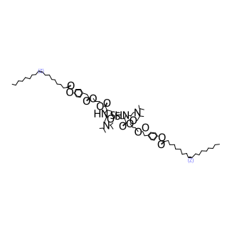 CCCCCCCC/C=C\CCCCCCCC(=O)Oc1ccc(CC(=O)OCCOC(=O)C(CSSCC(NC(=O)CN(C(C)C)C(C)C)C(=O)OCCOC(=O)Cc2ccc(OC(=O)CCCCCCC/C=C\CCCCCCCC)cc2)NC(=O)CN(C(C)C)C(C)C)cc1